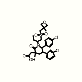 CCC(CS(=O)(=O)CC1(C)COC1)N1C(=O)C(C)(CC(=O)O)CC(c2cccc(Cl)c2)C1c1ccc(Cl)cc1